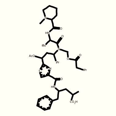 CCC(C)C(NC(=O)C1CCCCN1C)C(=O)N(COC(=O)CC(C)C)C(CC(OC(C)=O)c1nc(C(=O)NC(Cc2ccccc2)CC(C)C(=O)O)cs1)C(C)C